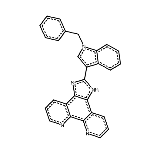 c1ccc(Cn2cc(-c3nc4c5cccnc5c5ncccc5c4[nH]3)c3ccccc32)cc1